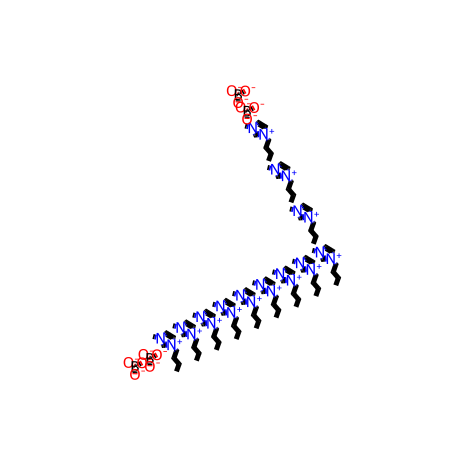 CCCC[n+]1ccn(C)c1.CCCC[n+]1ccn(C)c1.CCCC[n+]1ccn(C)c1.CCCC[n+]1ccn(C)c1.CCCC[n+]1ccn(C)c1.CCCC[n+]1ccn(C)c1.CCCC[n+]1ccn(C)c1.CCCC[n+]1ccn(C)c1.CCCC[n+]1ccn(C)c1.CCCC[n+]1ccn(C)c1.CCCC[n+]1ccn(C)c1.CCCC[n+]1ccn(C)c1.[O-]B([O-])[O-].[O-]B([O-])[O-].[O-]B([O-])[O-].[O-]B([O-])[O-]